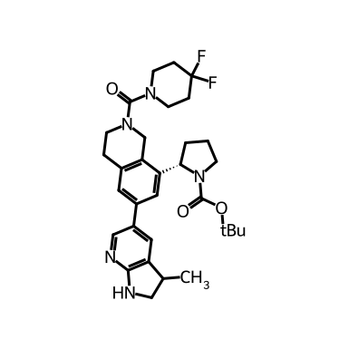 CC1CNc2ncc(-c3cc4c(c([C@@H]5CCCN5C(=O)OC(C)(C)C)c3)CN(C(=O)N3CCC(F)(F)CC3)CC4)cc21